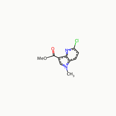 COC(=O)c1cn(C)c2ccc(Cl)nc12